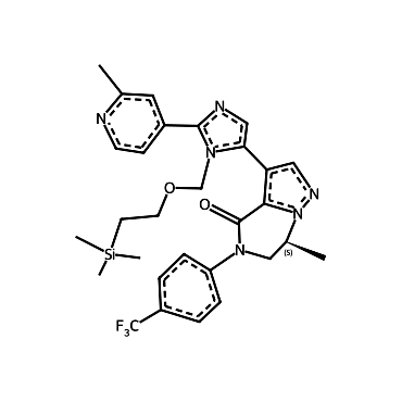 Cc1cc(-c2ncc(-c3cnn4c3C(=O)N(c3ccc(C(F)(F)F)cc3)C[C@@H]4C)n2COCC[Si](C)(C)C)ccn1